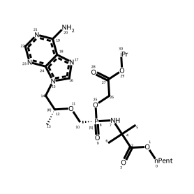 CCCCCOC(=O)C(C)(C)N[P@](=O)(CO[C@H](C)Cn1cnc2c(N)ncnc21)OCC(=O)OC(C)C